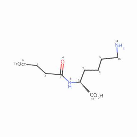 CCCCCCCCCCC(=O)N[C@@H](CCCCN)C(=O)O